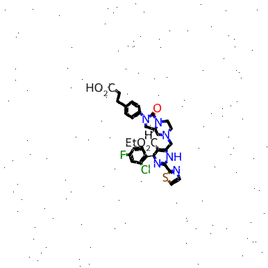 CCOC(=O)C1=C(CN2CCN3C(=O)N(c4ccc(CCC(=O)O)cc4)C[C@@H]3C2)NC(c2nccs2)=N[C@H]1c1ccc(F)cc1Cl